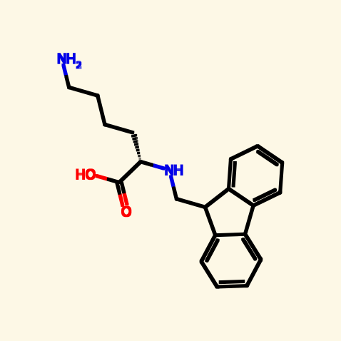 NCCCC[C@H](NCC1c2ccccc2-c2ccccc21)C(=O)O